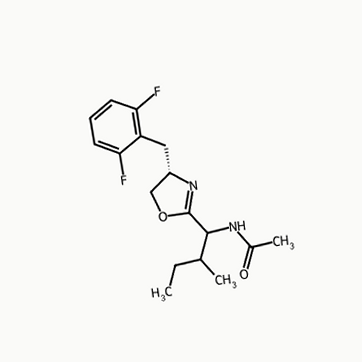 CCC(C)C(NC(C)=O)C1=N[C@@H](Cc2c(F)cccc2F)CO1